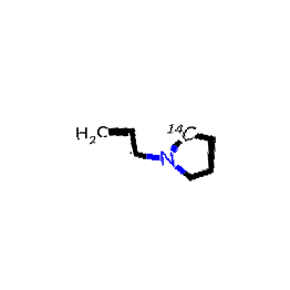 C=C[CH]N1CCC[14CH2]1